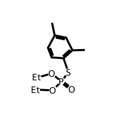 CCOP(=O)(OCC)Sc1ccc(C)cc1C